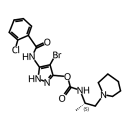 C[C@@H](CN1CCCCC1)NC(=O)Oc1n[nH]c(NC(=O)c2ccccc2Cl)c1Br